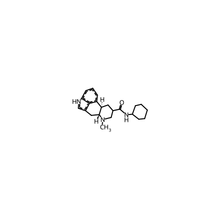 CN1CC(C(=O)NC2CCCCC2)C[C@@H]2c3cccc4[nH]cc(c34)C[C@H]21